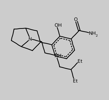 CCC(CC)CNCCN1C2CCC1CC(c1cccc(C(N)=O)c1O)C2